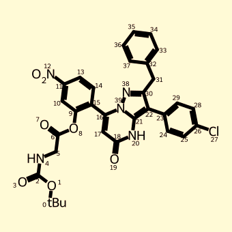 CC(C)(C)OC(=O)NCC(=O)Oc1cc([N+](=O)[O-])ccc1-c1cc(=O)[nH]c2c(-c3ccc(Cl)cc3)c(Cc3ccccc3)nn12